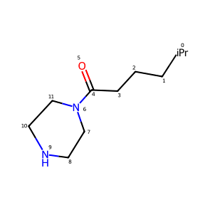 CC(C)CCCC(=O)N1CCNCC1